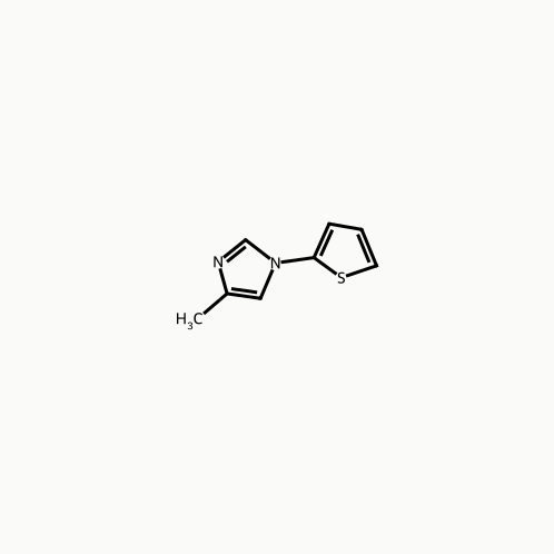 Cc1cn(-c2cccs2)cn1